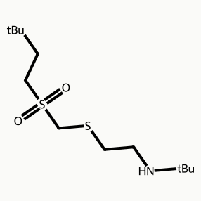 CC(C)(C)CCS(=O)(=O)CSCCNC(C)(C)C